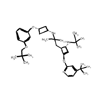 CC(C)(C)COc1cccc(O[C@H]2C[C@@H](NC(C)(C)CC3[C@H](NC(C)(C)C)C[C@H]3Oc3cc(C(C)(C)C)ccn3)C2)c1